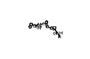 C\C=C/C(C=Cc1ccc2c(c1)CCCN2CCC(=O)NCCN(C)C)=C1/C=CC=C/C1=N\CCCNCC(O)COc1cccc2ccccc12